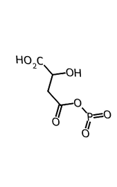 O=C(CC(O)C(=O)O)OP(=O)=O